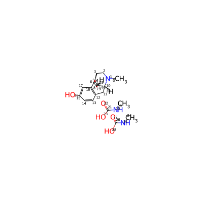 CN1CC[C@]23CCCC[C@H]2[C@H]1Cc1ccc(O)cc13.CNC(=O)O.CNC(=O)O